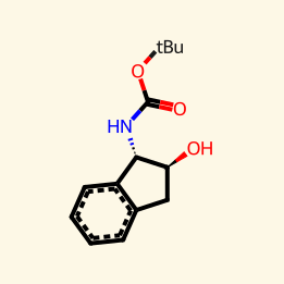 CC(C)(C)OC(=O)N[C@H]1c2ccccc2C[C@@H]1O